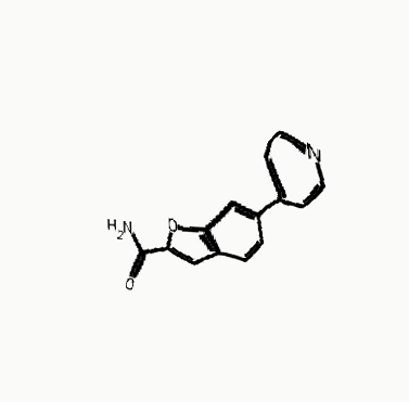 NC(=O)c1cc2ccc(-c3ccncc3)cc2o1